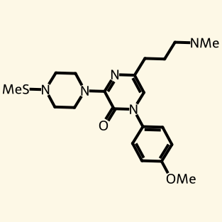 CNCCCc1cn(-c2ccc(OC)cc2)c(=O)c(N2CCN(SC)CC2)n1